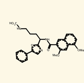 COc1cc2c(OC)cccc2cc1C(=O)NC(CCCNC(=O)O)c1ncc(-c2ccccc2)o1